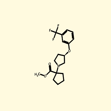 COC(=O)C1(N2CC[C@@H](Oc3cccc(C(F)(F)F)c3)C2)CCCC1